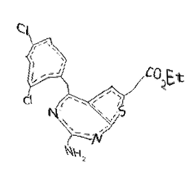 CCOC(=O)c1cc2c(-c3ccc(Cl)cc3Cl)nc(N)nc2s1